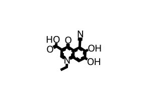 CCn1cc(C(=O)O)c(=O)c2c(C#N)c(O)c(O)cc21